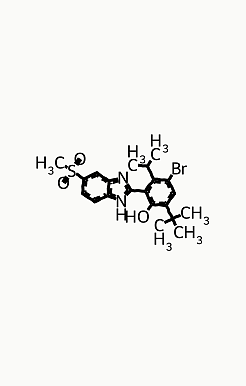 CC(C)c1c(Br)cc(C(C)(C)C)c(O)c1-c1nc2cc(S(C)(=O)=O)ccc2[nH]1